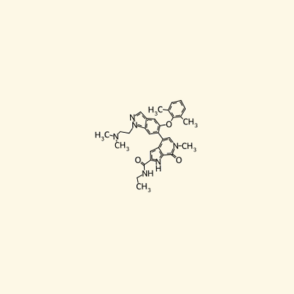 CCNC(=O)c1cc2c(-c3cc4c(cnn4CCN(C)C)cc3Oc3c(C)cccc3C)cn(C)c(=O)c2[nH]1